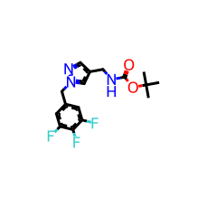 CC(C)(C)OC(=O)NCc1cnn(Cc2cc(F)c(F)c(F)c2)c1